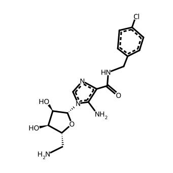 NC[C@H]1O[C@@H](n2cnc(C(=O)NCc3ccc(Cl)cc3)c2N)[C@H](O)[C@@H]1O